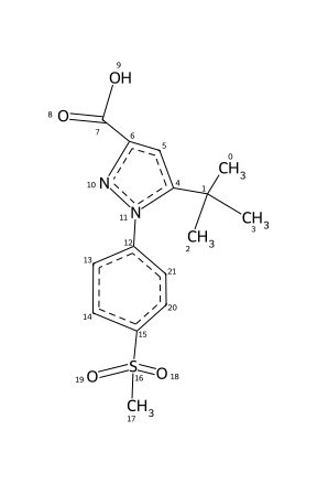 CC(C)(C)c1cc(C(=O)O)nn1-c1ccc(S(C)(=O)=O)cc1